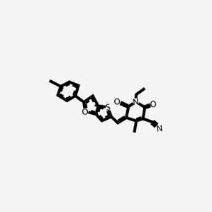 CCN1C(=O)C(C#N)=C(C)/C(=C/c2cc3oc(-c4ccc(C)cc4)cc3s2)C1=O